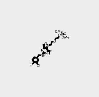 COP(=O)(OC)OCCOCCn1ncc2nc(NCc3ccc(Cl)c(Cl)c3)[nH]c(=O)c21